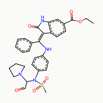 CCOC(=O)c1ccc2c(c1)NC(=O)C2=C(Nc1ccc(N(C(C=O)N2CCCC2)S(C)(=O)=O)cc1)c1ccccc1